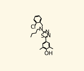 CCCCN(Cc1ccccc1Cl)c1nnc(-c2cc(C)c(O)c(C)c2)s1